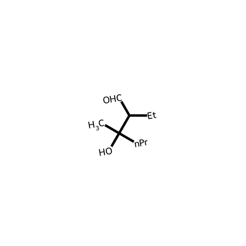 CCCC(C)(O)C(C=O)CC